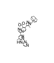 COC(=O)c1c(-c2cnn(CC34CC5CC(CC(C5)C3)C4)c2C)ccn2c(-c3cc(C)c(Nc4ccncn4)nn3)cnc12